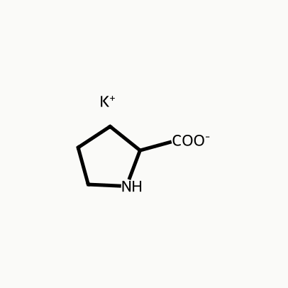 O=C([O-])C1CCCN1.[K+]